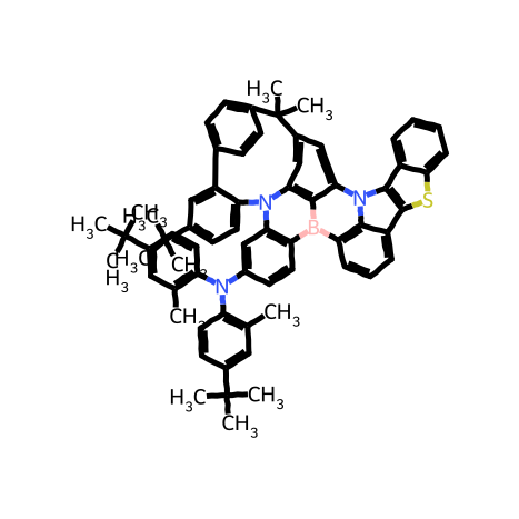 Cc1cc(C(C)(C)C)ccc1N(c1ccc2c(c1)N1c3ccc(C(C)(C)C)cc3-c3ccc(cc3)C(C)(C)c3cc1c1c(c3)-n3c4c(cccc4c4sc5ccccc5c43)B21)c1ccc(C(C)(C)C)cc1C